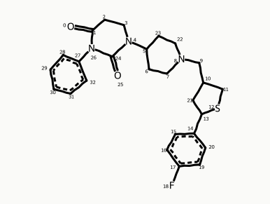 O=C1CCN(C2CCN(CC3CSC(c4ccc(F)cc4)C3)CC2)C(=O)N1c1ccccc1